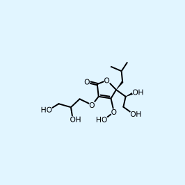 CC(C)C[C@]1([C@@H](O)CO)OC(=O)C(OCC(O)CO)=C1OO